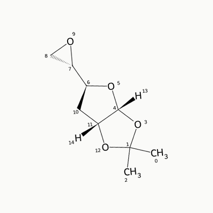 CC1(C)O[C@H]2O[C@H]([C@@H]3CO3)C[C@H]2O1